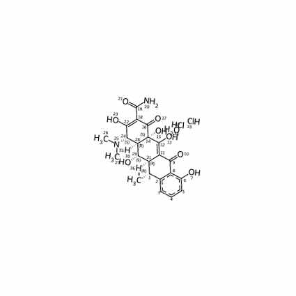 C[C@H]1c2cccc(O)c2C(=O)C2=C(O)[C@]3(O)C(=O)C(C(N)=O)=C(O)[C@@H](N(C)C)[C@@H]3[C@@H](O)[C@@H]21.Cl.Cl.O